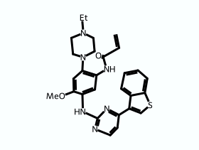 C=CC(=O)Nc1cc(Nc2nccc(-c3csc4ccccc34)n2)c(OC)cc1N1CCN(CC)CC1